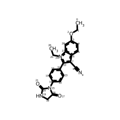 CCOc1ccc2c(C#N)c(-c3ccc(N4C(=O)CNC4=O)cc3)n(CC)c2c1